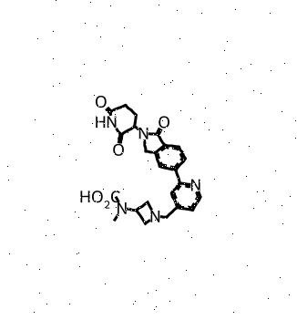 CN(C(=O)O)C1CN(Cc2ccnc(-c3ccc4c(c3)CN(C3CCC(=O)NC3=O)C4=O)c2)C1